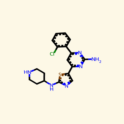 Nc1nc(-c2cnc(NC3CCNCC3)s2)cc(-c2ccccc2Cl)n1